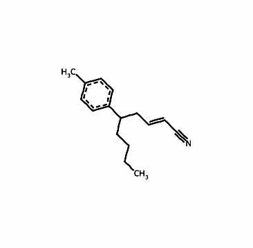 CCCCC(CC=CC#N)c1ccc(C)cc1